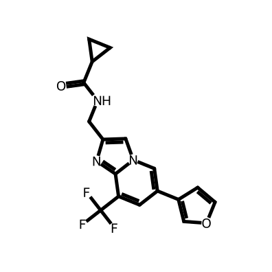 O=C(NCc1cn2cc(-c3ccoc3)cc(C(F)(F)F)c2n1)C1CC1